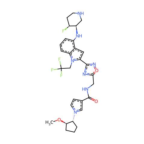 CO[C@@H]1CCC[C@H]1n1ccc(C(=O)NCc2nc(-c3cc4c(N[C@@H]5CNCC[C@@H]5F)cccc4n3CC(F)(F)F)no2)c1